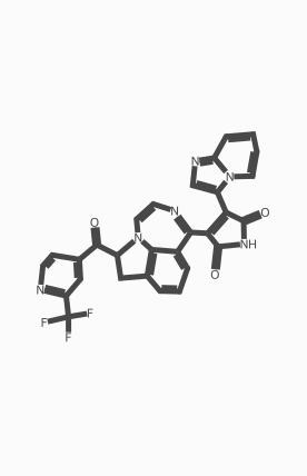 O=C1NC(=O)C(c2cnc3ccccn23)=C1C1=NC=CN2c3c(cccc31)CC2C(=O)c1ccnc(C(F)(F)F)c1